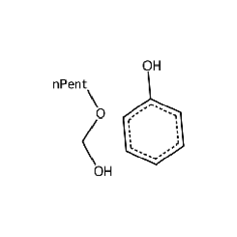 CCCCCOCO.Oc1ccccc1